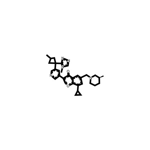 CC1CC(c2cncc(-c3coc4c(C5CC5)cc(CN5CCC[C@H](C)C5)cc4c3=O)c2)(c2nncn2C)C1